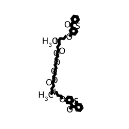 CN(CCCOc1ccc2sc3ccccc3c(=O)c2c1)CCC(=O)OCCOCCOCCOC(=O)CCN(C)CCCOc1ccc2sc3ccccc3c(=O)c2c1